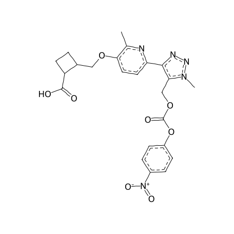 Cc1nc(-c2nnn(C)c2COC(=O)Oc2ccc([N+](=O)[O-])cc2)ccc1OCC1CCC1C(=O)O